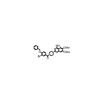 COc1cc2nc(N3CCN(C(=O)c4ccc(OCc5ccccc5)c(Br)c4)CC3)nc(N)c2cc1OC